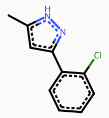 Cc1cc(-c2ccccc2Cl)n[nH]1